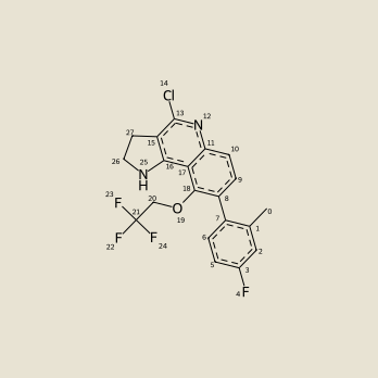 Cc1cc(F)ccc1-c1ccc2nc(Cl)c3c(c2c1OCC(F)(F)F)NCC3